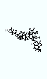 C=C(O)C(C)(C)CC(=O)O[C@H]1CC[C@]2(C)[C@H]3CC[C@@H]4C5=C(C(C)C)C(=O)C[C@]5([C@@H](O)CN(CCN(C)C)Cc5ccc(Cl)cc5)CC[C@@]4(C)[C@]3(C)CC[C@H]2C1(C)C